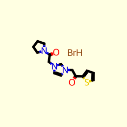 Br.O=C(CN1C=CN(CC(=O)N2CCCC2)C1)c1cccs1